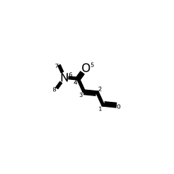 C=CC=CC(=O)N(C)C